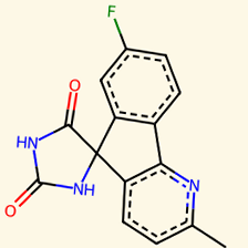 Cc1ccc2c(n1)-c1ccc(F)cc1C21NC(=O)NC1=O